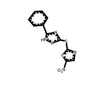 O=[N+]([O-])c1cnc(Sc2n[nH]c(-c3ccccc3)n2)s1